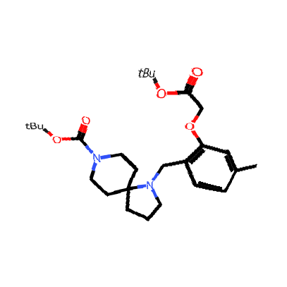 Cc1ccc(CN2CCCC23CCN(C(=O)OC(C)(C)C)CC3)c(OCC(=O)OC(C)(C)C)c1